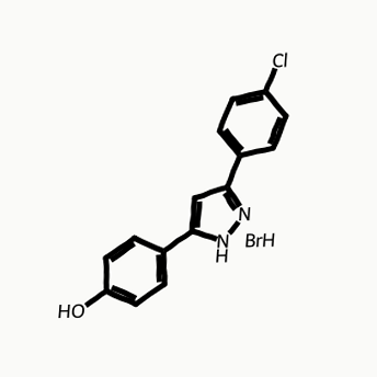 Br.Oc1ccc(-c2cc(-c3ccc(Cl)cc3)n[nH]2)cc1